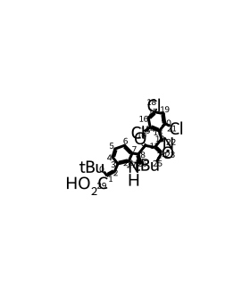 CC(C)(C)/C(=C\c1cccc2c(C(=O)c3c(-c4c(Cl)cc(Cl)cc4Cl)noc3C(C)(C)C)c[nH]c12)C(=O)O